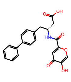 O=C(O)C[C@@H](Cc1ccc(-c2ccccc2)cc1)NC(=O)c1cc(=O)c(O)co1